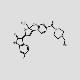 CC1(C)OC(=C2C(=O)Nc3cc(F)ccc32)C=C1c1ccc(C(=O)N2CCC(CO)CC2)cc1